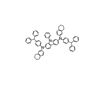 c1ccc(C(c2ccccc2)c2ccc(N(c3ccc4c(c3)CCCC4)c3ccc4c5ccc(N(c6ccc(C(c7ccccc7)c7ccccc7)cc6)c6ccc7c(c6)CCCC7)cc5n(-c5ccccc5)c4c3)cc2)cc1